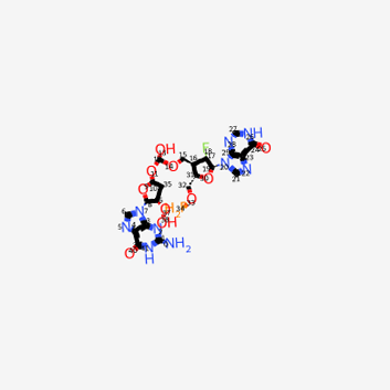 Nc1nc2c(ncn2[C@@H]2OC(OC(O)OC[C@H]3[C@H](F)[C@H](n4cnc5c(=O)[nH]cnc54)O[C@@H]3COP)C[C@H]2OO)c(=O)[nH]1